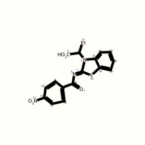 CCC(C(=O)O)n1/c(=N/C(=O)c2ccc([N+](=O)[O-])cc2)sc2ccccc21